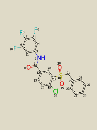 O=C(Nc1cc(F)c(F)c(F)c1)c1ccc(Cl)c(S(=O)(=O)Cc2ccccc2)c1